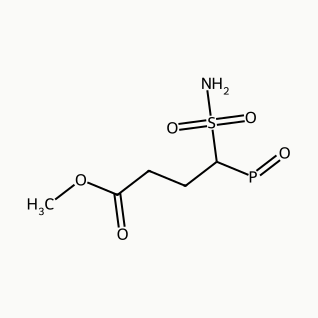 COC(=O)CCC(P=O)S(N)(=O)=O